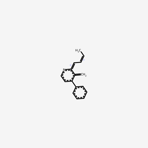 C=c1c(-c2ccccc2)ccn/c1=C/C=C\C